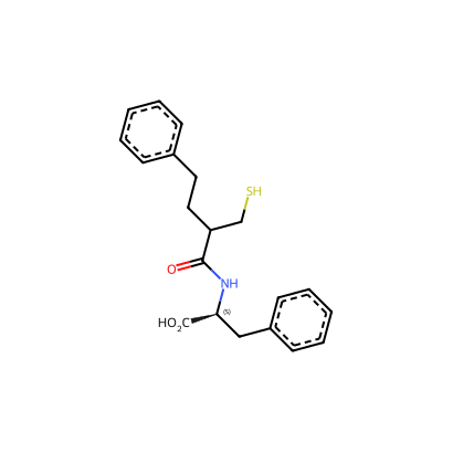 O=C(N[C@@H](Cc1ccccc1)C(=O)O)C(CS)CCc1ccccc1